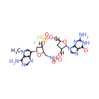 Cn1cc([C@@H]2OC3CNS(=O)(=O)O[C@@H]4C[C@@H](COP(=O)(S)O[C@H]3[C@H]2F)O[C@H]4n2cnc3c(=O)[nH]c(N)nc32)c2ncnc(N)c21